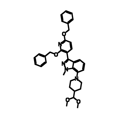 COC(OC)C1CCN(c2cccc3c(-c4ccc(OCc5ccccc5)nc4OCc4ccccc4)nn(C)c23)CC1